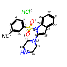 Cl.N#Cc1cccc(S(=O)(=O)n2c(N3CCNCC3)cc3ccccc32)c1